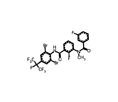 CN(C(=O)c1cccc(F)c1)c1cccc(C(=O)Nc2c(Br)cc(C(F)(C(F)(F)F)C(F)(F)F)cc2Br)c1F